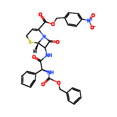 O=C(N[C@H](C(=O)NC1C(=O)N2C(C(=O)OCc3ccc([N+](=O)[O-])cc3)=CCS[C@@H]12)c1ccccc1)OCc1ccccc1